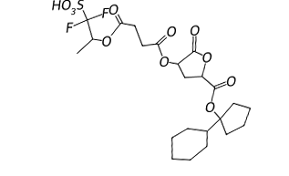 CC(OC(=O)CCC(=O)OC1CC(C(=O)OC2(C3CCCCC3)CCCC2)OC1=O)C(F)(F)S(=O)(=O)O